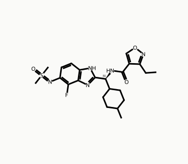 CCc1nocc1C(=O)N[C@H](c1nc2c(F)c(N=S(C)(C)=O)ccc2[nH]1)C1CCC(C)CC1